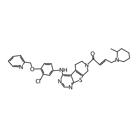 CC1CCCCN1C/C=C/C(=O)N1CCc2c(sc3ncnc(Nc4ccc(OCc5ccccn5)c(Cl)c4)c23)C1